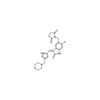 O=C1Nc2cc(F)c(CN3C(=O)CSC3=O)cc2/C1=C/c1cc(CN2CCOCC2)c[nH]1